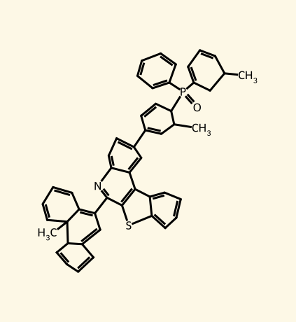 CC1C=CC=C(P(=O)(c2ccccc2)C2C=CC(c3ccc4nc(C5=C6C=CC=CC6(C)C6C=CC=CC6=C5)c5sc6ccccc6c5c4c3)=CC2C)C1